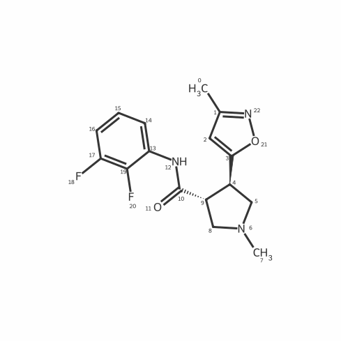 Cc1cc([C@H]2CN(C)C[C@@H]2C(=O)Nc2cccc(F)c2F)on1